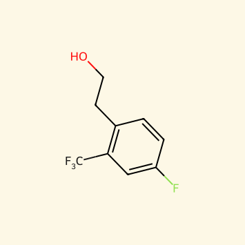 OCCc1ccc(F)cc1C(F)(F)F